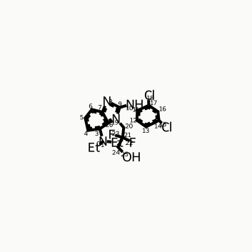 CCN(CC)c1cccc2nc(Nc3ccc(Cl)cc3Cl)n(CC(F)(F)CO)c12